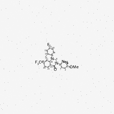 COc1ccc(N2CN(c3ccc(F)cc3C)c3cc(C(F)(F)F)ccc3C2=O)nn1